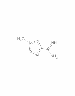 Cn1cnc(C(=N)N)c1